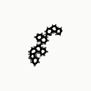 c1cnc2c(c1)ccc1ccc(-c3ccc(-c4cc5ccc6oc7ccccc7c6c5c5ccccc45)c4ccccc34)nc12